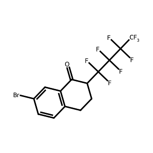 O=C1c2cc(Br)ccc2CCC1C(F)(F)C(F)(F)C(F)(F)C(F)(F)F